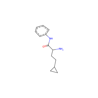 NC(CCC1CC1)C(=O)Nc1ccccc1